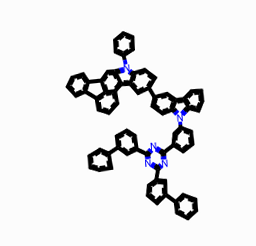 c1ccc(-c2cccc(-c3nc(-c4cccc(-c5ccccc5)c4)nc(-c4cccc(-n5c6ccccc6c6cc(-c7ccc8c(c7)c7c9cccc%10c9c(cc7n8-c7ccccc7)-c7ccccc7-%10)ccc65)c4)n3)c2)cc1